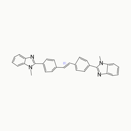 Cn1c(-c2ccc(/C=C/c3ccc(-c4nc5ccccc5n4C)cc3)cc2)nc2ccccc21